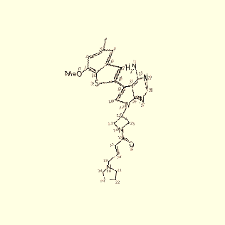 COc1cc(C)cc2cc(-c3cn(C4CN(C(=O)/C=C/CN5CCCC5)C4)c4ncnc(N)c34)sc12